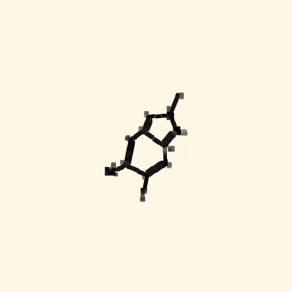 Cn1cc2cc(C#N)c(F)cc2n1